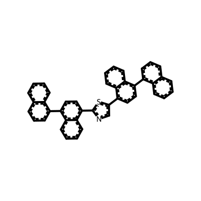 c1ccc2c(-c3ccc(-c4cnc(-c5ccc(-c6cccc7ccccc67)c6ccccc56)s4)c4ccccc34)cccc2c1